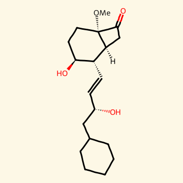 CO[C@@]12CC[C@H](O)[C@@H](/C=C/[C@H](O)CC3CCCCC3)[C@@H]1CC2=O